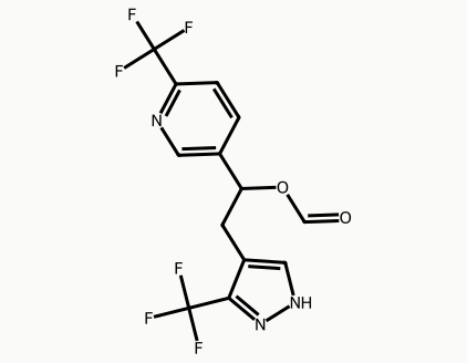 O=COC(Cc1c[nH]nc1C(F)(F)F)c1ccc(C(F)(F)F)nc1